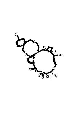 C[C@@H]1[C@@H](C)C/C=C/[C@H](O)[C@@H]2CC[C@H]2CN2CCCCc3cc(Cl)ccc3COc3ccc(cc32)C(=O)NS1(=O)=O